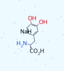 N[C@@H](Cc1ccc(O)c(O)c1)C(=O)O.[NaH]